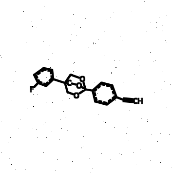 C#Cc1ccc(C23OCC(c4cccc(F)c4)(CO2)CO3)cc1